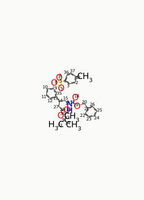 Cc1ccc(S(=O)(=O)Oc2cccc(C(CNC(=O)OCc3ccccc3)CC(=O)OC(C)(C)C)c2)cc1